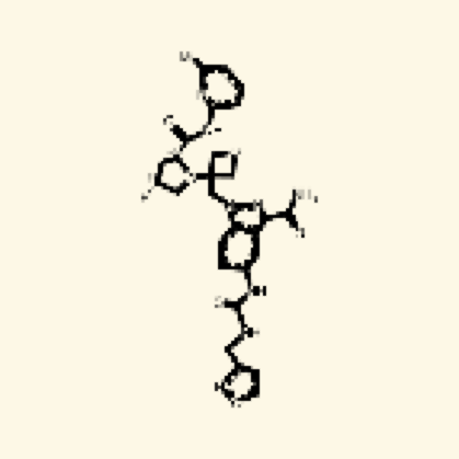 NC(=O)c1nn(CC2(N3C[C@H](F)C[C@H]3C(=O)Nc3cccc(Br)n3)COC2)c2ccc(NC(=O)NCc3ccon3)cc12